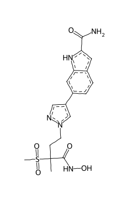 CC(CCn1cc(-c2ccc3cc(C(N)=O)[nH]c3c2)cn1)(C(=O)NO)S(C)(=O)=O